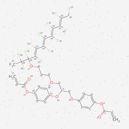 C=CC(=O)Oc1ccc(OCC(COCCCOC(F)(/C(F)=C(F)/C(F)=C(F)/C(F)=C(F)/C(F)=C(\F)CF)C(F)(F)C(F)(F)F)Oc2ccc(OC(=O)C=C)cc2)cc1